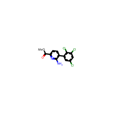 COC(=O)c1ccc(-c2cc(Cl)cc(Cl)c2Cl)c(N)n1